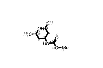 C[C@@H](O)CC(CCS)NC(=O)OC(C)(C)C